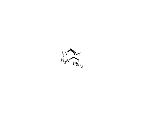 N=CN.NCI.[PbH2]